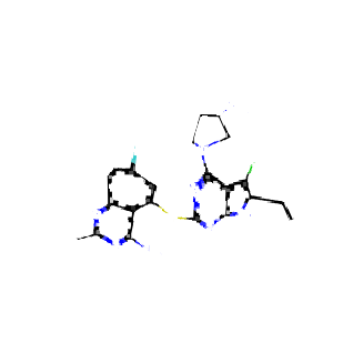 CCc1[nH]c2nc(Sc3cc(F)cc4nc(C)nc(N)c34)nc(N3CC[C@@H](N)C3)c2c1Cl